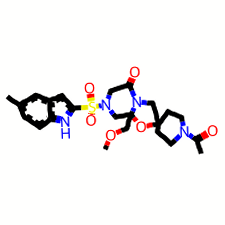 COCC12CN(S(=O)(=O)c3cc4cc(C)ccc4[nH]3)CC(=O)N1CC1(CCN(C(C)=O)CC1)O2